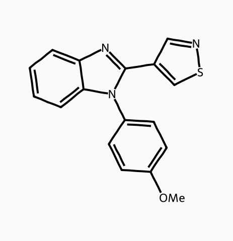 COc1ccc(-n2c(-c3cnsc3)nc3ccccc32)cc1